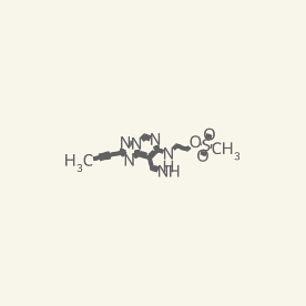 CC#Cc1nc2c(C=N)c(NCCOS(C)(=O)=O)ncn2n1